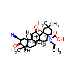 C=CCN(C(=O)O)[C@]12CCC(C)(C)C[C@H]1[C@H]1C(=O)C=C3[C@@]4(C)C=C(C#N)C(=O)C(C)(C)[C@@H]4CC[C@@]3(C)[C@]1(C)CC2